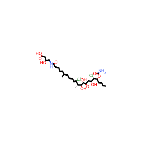 CC/C=C/[C@@H](OC(N)=O)[C@@H](Cl)[C@H](O)CC(=O)[C@@H](O)[C@H](O)[C@H](C)/C(Cl)=C/C=C/C=C(C)/C=C/C=C/C(=O)NCC(O)CC(=O)O